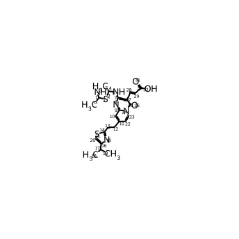 CC(N)SC(C)Nc1nc2cc(CCc3nc(C(C)C)cs3)ccn2c(=O)c1C=CC(=O)O